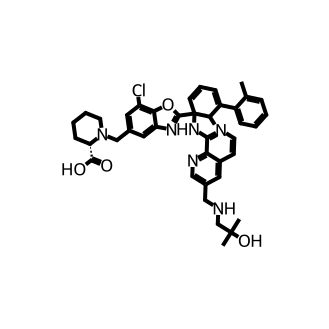 Cc1ccccc1C1=CC=CC(Nc2nccc3cc(CNCC(C)(C)O)cnc23)(c2nc3cc(CN4CCCC[C@H]4C(=O)O)cc(Cl)c3o2)C1C